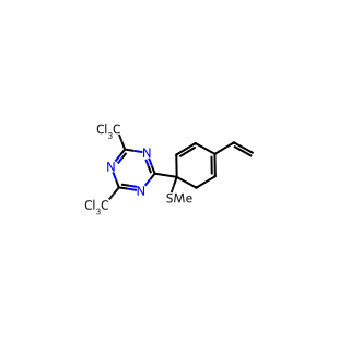 C=CC1=CCC(SC)(c2nc(C(Cl)(Cl)Cl)nc(C(Cl)(Cl)Cl)n2)C=C1